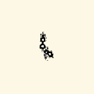 [C-]#[N+]/N=C1\c2ccccc2-c2nc3cc(-c4ccc(C(F)(F)F)cc4)ccc3nc21